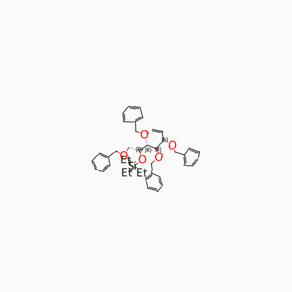 C=C[C@H](OCc1ccccc1)[C@@H](OCc1ccccc1)[C@@H](OCc1ccccc1)[C@@H](COCc1ccccc1)O[Si](CC)(CC)CC